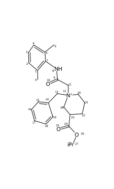 Cc1cccc(C)c1NC(=O)C[N+]1(Cc2ccccc2)CCCC(C(=O)OC(C)C)C1